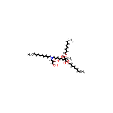 CCCCCCCCCCN(CCCCCCC(C)(C(=O)OCCCCCCCC)C(=O)OCCCCCCCC)CC(O)CO